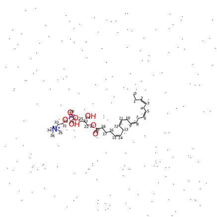 CC/C=C\C/C=C\C/C=C\C/C=C\C/C=C\CCCC(=O)OC[C@@H](O)COP(=O)(O)OCC[N+](C)(C)C